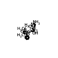 CC(C)OC(=O)[C@@H](C)N[P@@](=S)(OC[C@H]1O[C@@H](n2ccc(N)nc2=O)[C@](F)(Cl)[C@@H]1O)Oc1ccccc1